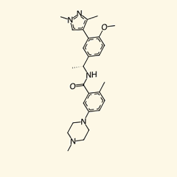 COc1ccc([C@@H](C)NC(=O)c2cc(N3CCN(C)CC3)ccc2C)cc1-c1cn(C)nc1C